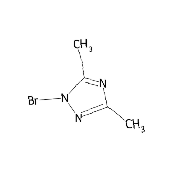 Cc1nc(C)n(Br)n1